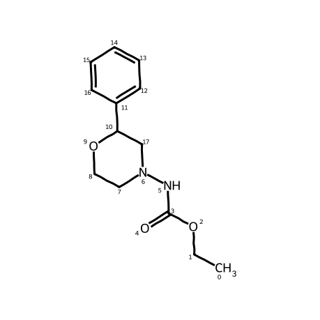 CCOC(=O)NN1CCOC(c2ccccc2)C1